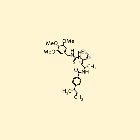 C=CC(C)c1ccc(C(=O)NC(C)/C=C(\C=C/CC)NC(=S)NCC2=CC(OC)C(OC)C(OC)=C2)cc1